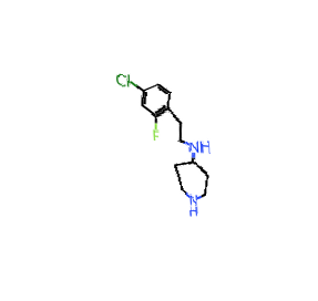 Fc1cc(Cl)ccc1CCNC1CCNCC1